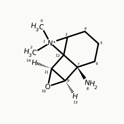 C[N+]1(C)C2CCC[C@]3(N)[C@H]4O[C@H]4C231